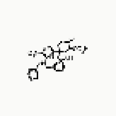 O=C(O)C1CC(C(=O)O)(c2ccc([N+](=O)[O-])c(N(Cc3ccccc3)Cc3ccccc3)n2)CCC1=O